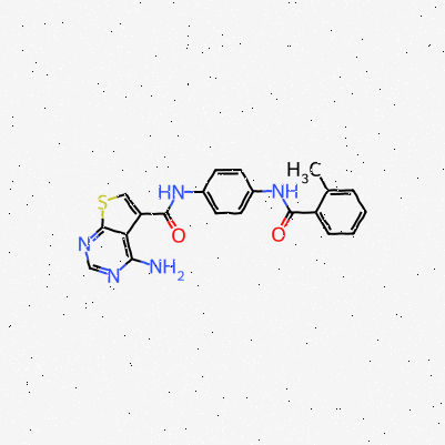 Cc1ccccc1C(=O)Nc1ccc(NC(=O)c2csc3ncnc(N)c23)cc1